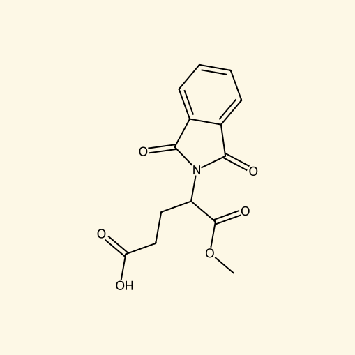 COC(=O)C(CCC(=O)O)N1C(=O)c2ccccc2C1=O